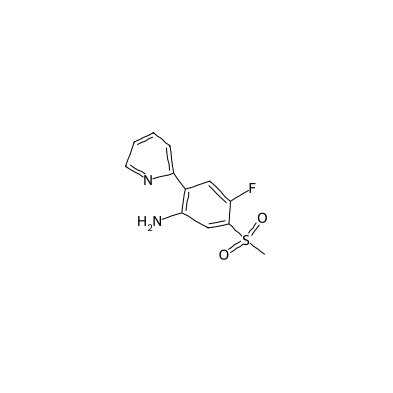 CS(=O)(=O)c1cc(N)c(-c2ccccn2)cc1F